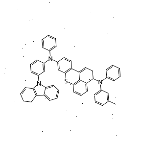 Cc1cccc(N(c2ccccc2)C2CC=C3c4ccc(N(c5ccccc5)c5cccc(-n6c7c(c8ccccc86)CCC=C7)c5)cc4Sc4cccc2c43)c1